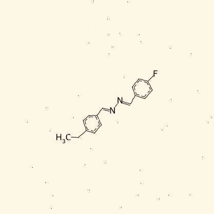 CCc1ccc(/C=N/N=C/c2ccc(F)cc2)cc1